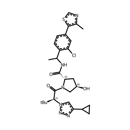 Cc1ncsc1-c1ccc(C(C)NC(=O)[C@@H]2C[C@@H](O)CN2C(=O)[C@@H](n2cc(C3CC3)nn2)C(C)(C)C)c(Cl)c1